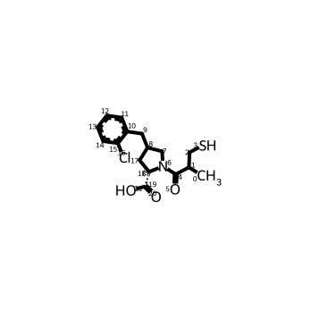 CC(CS)C(=O)N1CC(Cc2ccccc2Cl)C[C@H]1C(=O)O